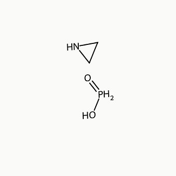 C1CN1.O=[PH2]O